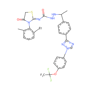 CCc1cccc(C)c1N1C(=O)CS/C1=N\C(=O)NNC(C)c1ccc(-c2ncn(-c3ccc(OC(F)(F)C(F)(F)F)cc3)n2)cc1